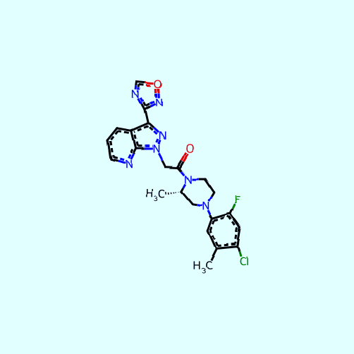 Cc1cc(N2CCN(C(=O)Cn3nc(-c4ncon4)c4cccnc43)[C@@H](C)C2)c(F)cc1Cl